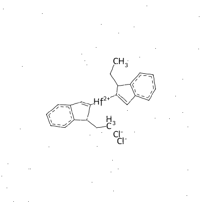 CCC1[C]([Hf+2][C]2=Cc3ccccc3C2CC)=Cc2ccccc21.[Cl-].[Cl-]